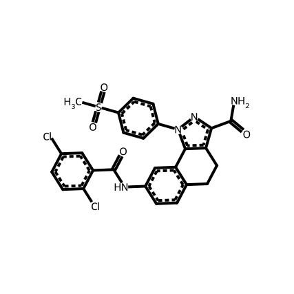 CS(=O)(=O)c1ccc(-n2nc(C(N)=O)c3c2-c2cc(NC(=O)c4cc(Cl)ccc4Cl)ccc2CC3)cc1